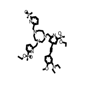 CCOP(C)(=O)c1cccc(CN2CCN(Cc3cccc(P(C)(C)=O)n3)CCN(Cc3cc(C#Cc4ccc(OC)c(N(CC)CC)c4)cc(P(C)(=O)OCC)n3)CC2)n1